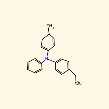 CC1C=CC(N(c2ccccc2)c2ccc(CC(C)(C)C)cc2)=CC1